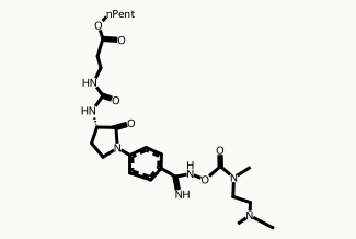 CCCCCOC(=O)CCNC(=O)N[C@H]1CCN(c2ccc(C(=N)NOC(=O)N(C)CCN(C)C)cc2)C1=O